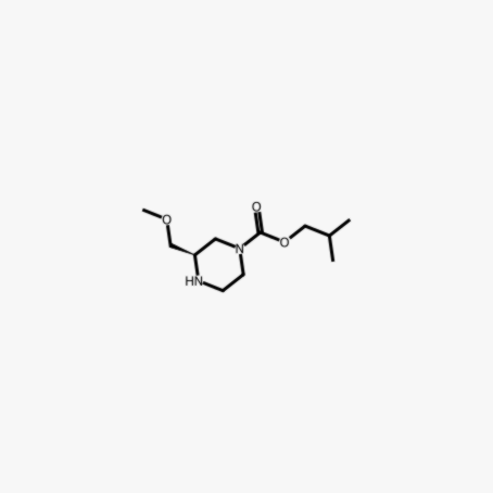 COC[C@H]1CN(C(=O)OCC(C)C)CCN1